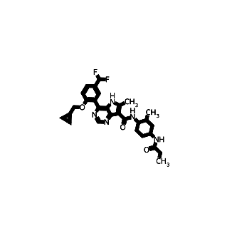 CCC(=O)NC1CCC(NC(=O)c2c(C)[nH]c3c(-c4cc(C(F)F)ccc4OCC4CC4)ncnc23)C(C)C1